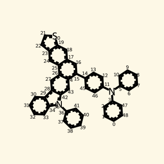 c1ccc(N(c2ccccc2)c2ccc(-c3cc4cc5sccc5cc4c4cc5c6ccccc6n(-c6ccccc6)c5cc34)cc2)cc1